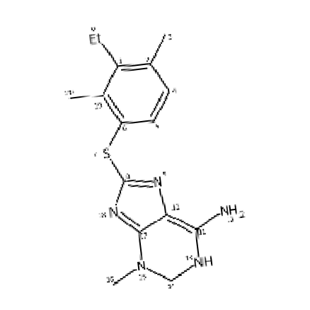 CCc1c(C)ccc(SC2=NC3=C(N)NCN(C)C3=N2)c1C